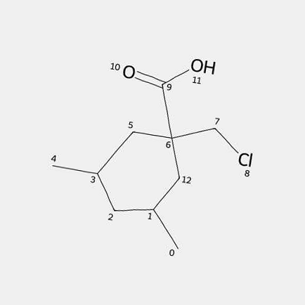 CC1CC(C)CC(CCl)(C(=O)O)C1